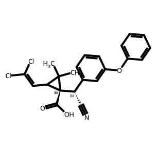 CC1(C)C(C=C(Cl)Cl)[C@@]1(C(=O)O)[C@@H](C#N)c1cccc(Oc2ccccc2)c1